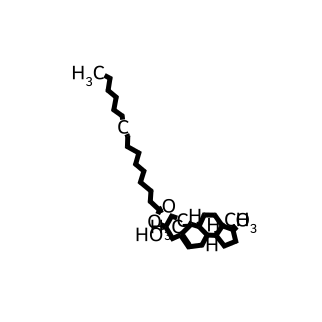 CCCCCCCCCCCCCCCC(=O)O[C@@]1(O)CC[C@@]2(C)C(=CC[C@@H]3[C@@H]2CC[C@]2(C)C(=O)CC[C@@H]32)C1